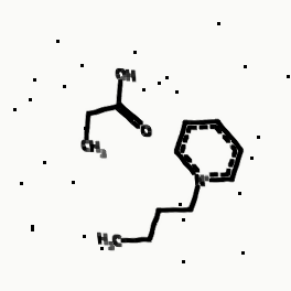 CCC(=O)O.CCCC[n+]1ccccc1